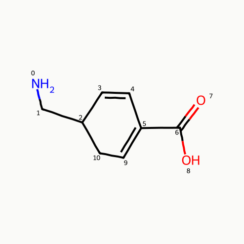 NCC1C=CC(C(=O)O)=CC1